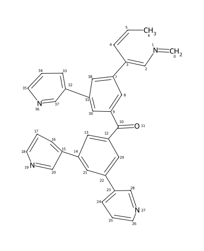 C=N/C=C(\C=C/C)c1cc(C(=O)c2cc(-c3cccnc3)cc(-c3cccnc3)c2)cc(-c2cccnc2)c1